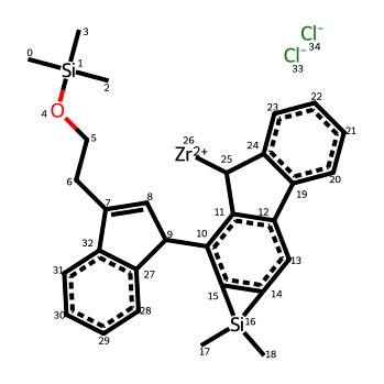 C[Si](C)(C)OCCC1=CC(c2c3c(cc4c2[Si]4(C)C)-c2ccccc2[CH]3[Zr+2])c2ccccc21.[Cl-].[Cl-]